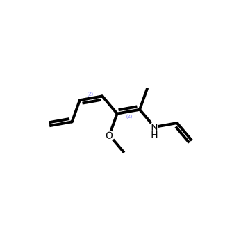 C=C/C=C\C(OC)=C(/C)NC=C